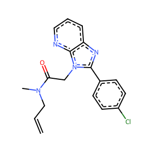 C=CCN(C)C(=O)Cn1c(-c2ccc(Cl)cc2)nc2cccnc21